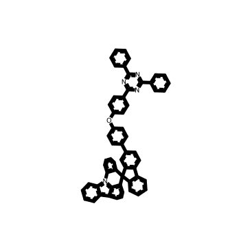 c1ccc(-c2nc(-c3ccccc3)nc(-c3ccc(Oc4ccc(-c5ccc6c(c5)C5(c7ccccc7-6)c6ccccc6-n6c7ccccc7c7cccc5c76)cc4)cc3)n2)cc1